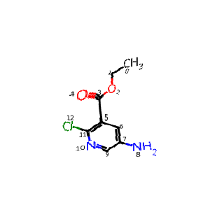 CCOC(=O)c1cc(N)cnc1Cl